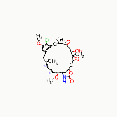 COc1cc2cc(c1Cl)CC(C)CC(=O)CC(O)C1(C)OC1CC1CC(NC(=O)O1)C(OC)/C=C/C=C(\C)C2